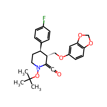 CC(C)(C)ON1CC[C@@H](c2ccc(F)cc2)[C@H](COc2ccc3c(c2)OCO3)C1=C=O